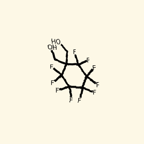 OCC1(CO)C(F)(F)C(F)(F)C(F)(F)C(F)(F)C1(F)F